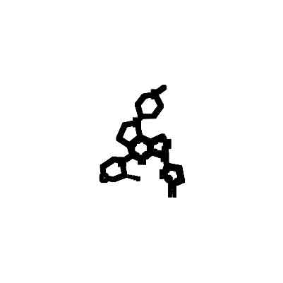 C[C@@H]1COCCN1c1nc2c(cnn2-c2cc[nH]n2)c2c1CCN2C1CCN(C)CC1